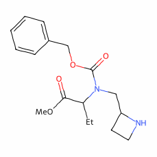 CCC(C(=O)OC)N(CC1CCN1)C(=O)OCc1ccccc1